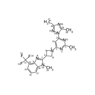 Cc1nc(N2CC(c3nc4c(C(F)(F)F)cccc4n3C)C2)cc(-n2nc(C)nc2C)n1